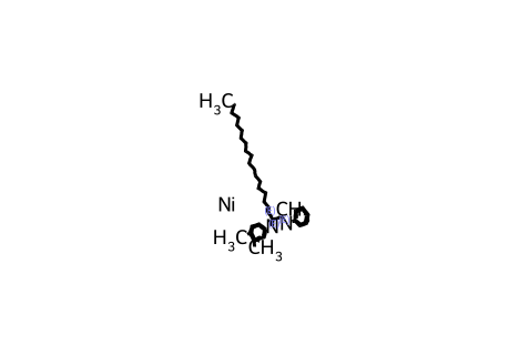 CCCCCCCCCCCCCCCCC/C=C/C(=N\c1ccc(C)c(C)c1)C(/C)=N/c1ccccc1.[Ni]